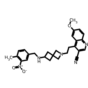 COc1ccc2ncc(C#N)c(CCN3CC4(CC(NCc5ccc(C)c([N+](=O)[O-])c5)C4)C3)c2c1